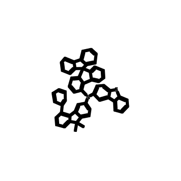 CC1(C)c2ccc(N(c3ccc4sc5ccccc5c4c3)c3cccc4c3-c3ccccc3C43c4ccccc4-c4ccccc43)cc2-c2c(-c3ccccc3)cccc21